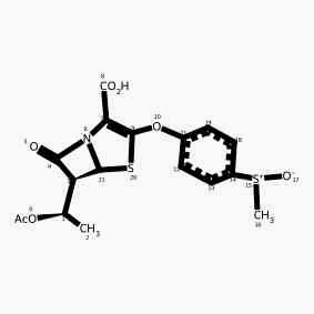 CC(=O)O[C@H](C)[C@H]1C(=O)N2C(C(=O)O)=C(Oc3ccc([S+](C)[O-])cc3)SC12